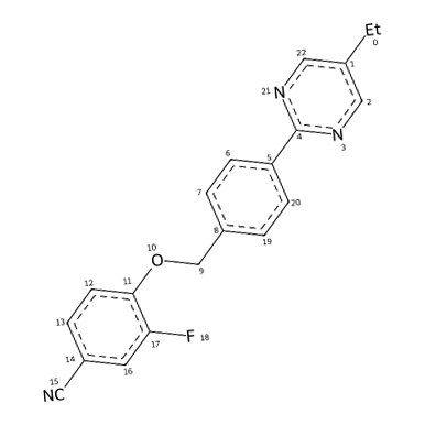 CCc1cnc(-c2ccc(COc3ccc(C#N)cc3F)cc2)nc1